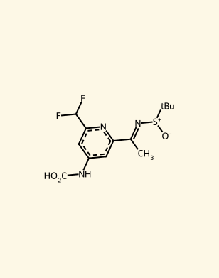 CC(=N[S+]([O-])C(C)(C)C)c1cc(NC(=O)O)cc(C(F)F)n1